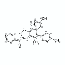 Cc1ccc(-c2c(C)c3c(c(C)c2CC(=O)O)CCN(C(=O)c2ccncc2)C3)cc1